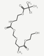 CCC(C)(C)C(=O)OCCNC(=O)OCSCC(C)C(=O)OCCO